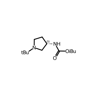 CC(C)COC(=O)N[C@H]1CCN(C(C)(C)C)C1